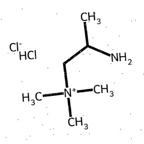 CC(N)C[N+](C)(C)C.Cl.[Cl-]